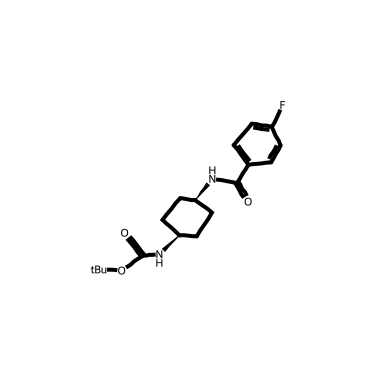 CC(C)(C)OC(=O)N[C@H]1CC[C@@H](NC(=O)c2ccc(F)cc2)CC1